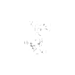 CC(=O)O[C@@H](C)C(=O)N[C@@H](CC(=O)OC1=CC[C@@]2(O)[C@@H]3CCC[C@@]24c2c(ccc(O)c2O[C@@H]14)C3)C(=O)O